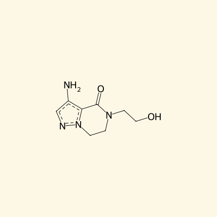 Nc1cnn2c1C(=O)N(CCO)CC2